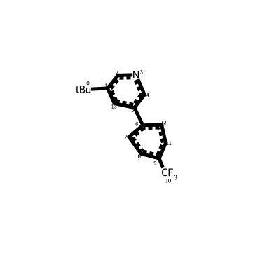 CC(C)(C)c1cncc(-c2ccc(C(F)(F)F)cc2)c1